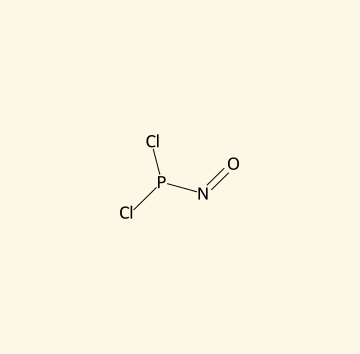 O=NP(Cl)Cl